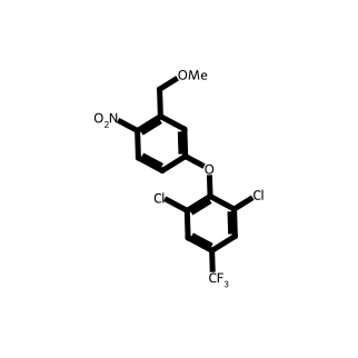 COCc1cc(Oc2c(Cl)cc(C(F)(F)F)cc2Cl)ccc1[N+](=O)[O-]